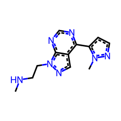 CNCCn1ncc2c(-c3ccnn3C)ncnc21